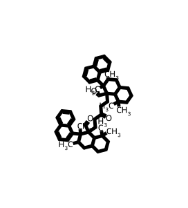 CC1CC2CCCC(C)(C)C2C(C=O)(CCC(=O)CCC2(C=O)C3C(CCCC3(C)C)CC(C)C2(C)c2cccc3ccccc23)C1(C)c1cccc2ccccc12